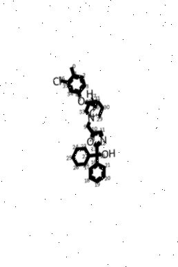 Cc1ccc(O[C@H]2C[N+]3(Cc4cnc(C(O)(c5ccccc5)C5CCCCC5)o4)CCC2CC3)cc1Cl